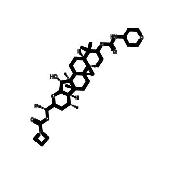 CC(C)[C@@H](OC(=O)N1CCC1)C1C[C@@H](C)[C@H]2C(O1)[C@H](O)[C@@]1(C)C3CC[C@H]4C(C)(C)C(OC(=O)NC5CCOCC5)CC[C@@]45C[C@@]35CC[C@]21C